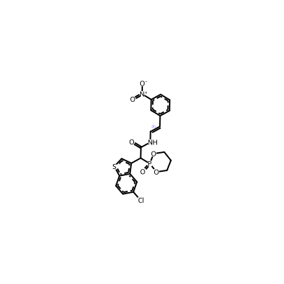 O=C(N/C=C/c1cccc([N+](=O)[O-])c1)C(c1csc2ccc(Cl)cc12)P1(=O)OCCCO1